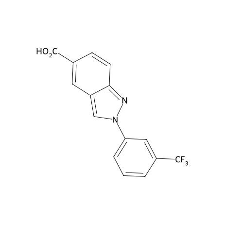 O=C(O)c1ccc2nn(-c3cccc(C(F)(F)F)c3)cc2c1